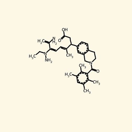 C=C(N)/C(=C\C=C(/C)C(CC(=O)O)c1ccc2c(c1)CN(C(=O)c1c(C)c(C)cc(C)c1C)CC2)N(N)CC